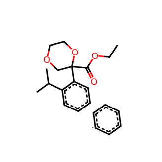 CCOC(=O)C1(c2ccccc2C(C)C)COCCO1.[c]1ccccc1